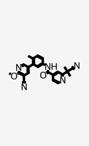 COc1ncc(-c2cc(NC(=O)c3ccnc(C(C)(C)C#N)c3)ccc2C)cc1C#N